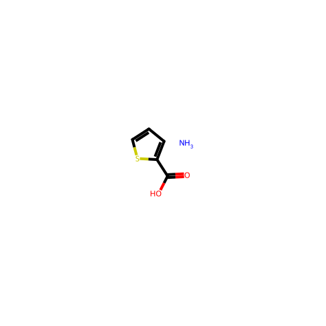 N.O=C(O)c1cccs1